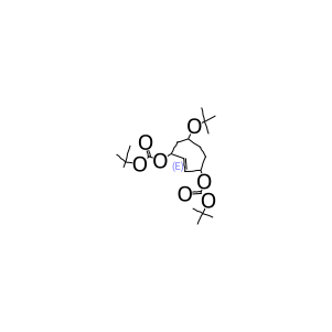 CC(C)(C)OC(=O)OC1/C=C/C(OC(=O)OC(C)(C)C)CC(OC(C)(C)C)CC1